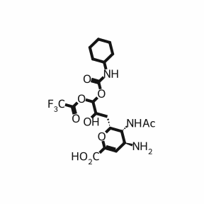 CC(=O)N[C@@H]1[C@@H](N)C=C(C(=O)O)O[C@@H]1CC(O)C(OC(=O)NC1CCCCC1)OC(=O)C(F)(F)F